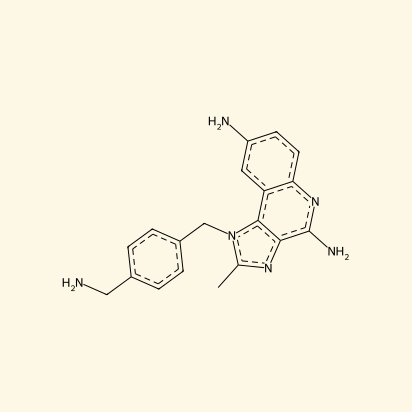 Cc1nc2c(N)nc3ccc(N)cc3c2n1Cc1ccc(CN)cc1